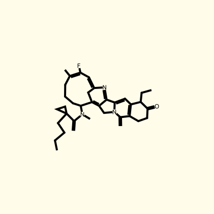 C=C1C2=C(C=C3C4=N/C5=C/C(F)=C(/C)CCCC(N(C)C(=C)C6(CCCC)CC6)C(=C4CN13)C5)C(CC)C(=O)CC2